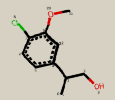 [CH2]C(CO)c1ccc(Cl)c(OC)c1